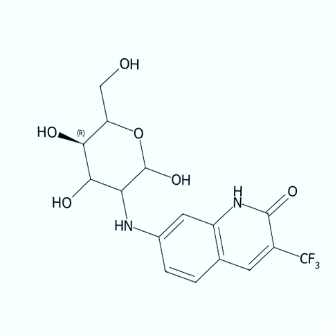 O=c1[nH]c2cc(NC3C(O)OC(CO)[C@H](O)C3O)ccc2cc1C(F)(F)F